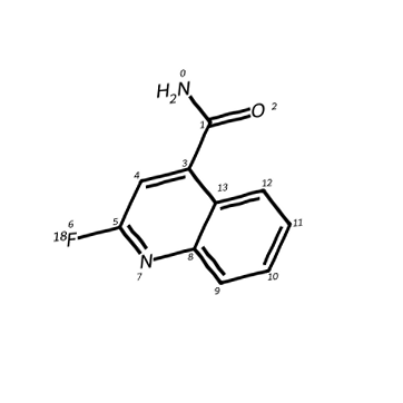 NC(=O)c1cc([18F])nc2ccccc12